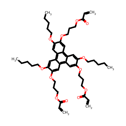 C=CC(=O)OCCCOc1cc2c(cc1OCCCCC)c1cc(OCCCCC)c(OCCCOC(=O)C=C)cc1c1cc(OCCCOC(=O)C=C)c(OCCCCC)cc21